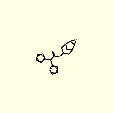 O=C(OC1CC2CC(C1)C1OC21)C(c1cccs1)c1cccs1